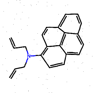 C=CCN(CC=C)c1ccc2ccc3cccc4ccc1c2c34